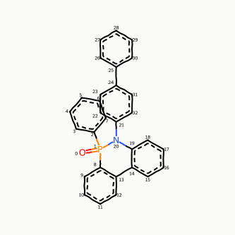 O=P1(c2ccccc2)c2ccccc2-c2ccccc2N1c1ccc(-c2ccccc2)cc1